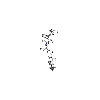 C=N/C(=N\C=C(/C)c1ccc(CC(=O)Nc2cc(C3(C(F)(F)F)CC3)on2)c(F)c1)Nc1cn(CCS(C)(=O)=O)nc1OC